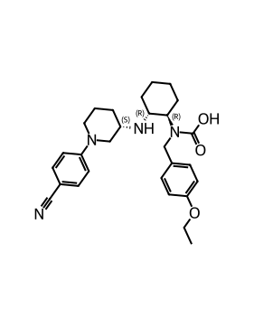 CCOc1ccc(CN(C(=O)O)[C@@H]2CCCC[C@H]2N[C@H]2CCCN(c3ccc(C#N)cc3)C2)cc1